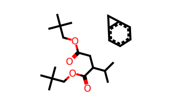 CC(C)C(CC(=O)OCC(C)(C)C)C(=O)OCC(C)(C)C.c1ccc2c(c1)C2